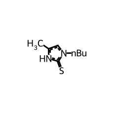 CCCCn1cc(C)[nH]c1=S